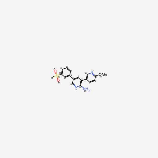 COc1ccc(-c2cc(-c3cccc(S(C)(=O)=O)c3)cnc2N)cn1